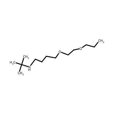 CCCOCCOCCCCNC(C)(C)C